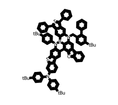 CC(C)(C)c1ccc(N2B3c4cc5c(-c6ccccc6)sc(-c6ccccc6)c5cc4N(Cc4ccc(C(C)(C)C)cc4-c4ccccc4)c4cc5c(oc6ccccc65)c(c43)-c3cc4c(cc32)sc2cc(N(c3ccc(C(C)(C)C)cc3)c3ccc(C(C)(C)C)cc3)ccc24)cc1